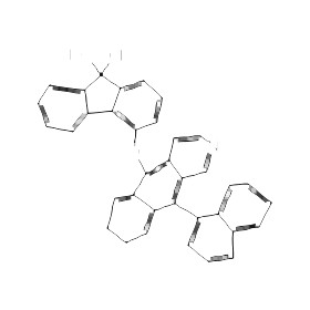 CC1(C)c2ccccc2-c2c(Oc3c4c(c(-c5cccc6ccccc56)c5cnccc35)=CCCC=4)cccc21